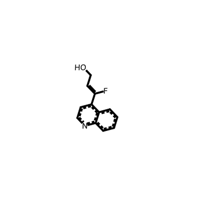 OCC=C(F)c1ccnc2ccccc12